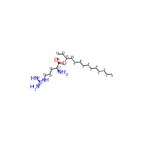 CCCCCCCCCCCC(CC)OC(=O)C(N)CCCNC(=N)N